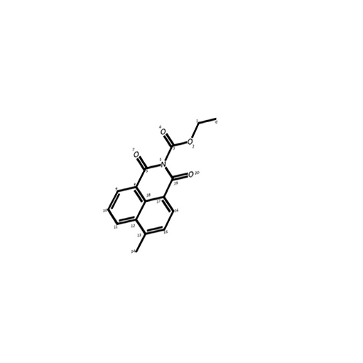 CCOC(=O)N1C(=O)c2cccc3c(C)ccc(c23)C1=O